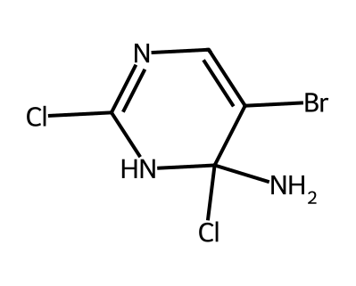 NC1(Cl)NC(Cl)=NC=C1Br